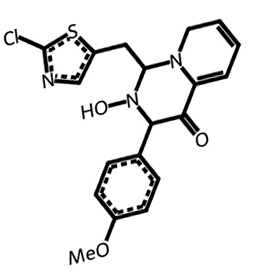 COc1ccc(C2C(=O)C3=CC=CCN3C(Cc3cnc(Cl)s3)N2O)cc1